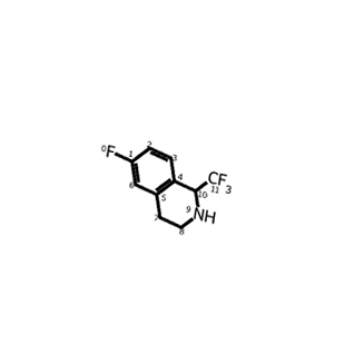 Fc1ccc2c(c1)CCNC2C(F)(F)F